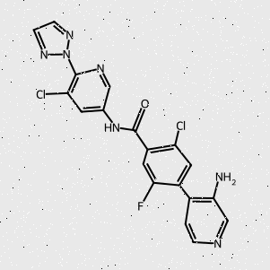 Nc1cnccc1-c1cc(Cl)c(C(=O)Nc2cnc(-n3nccn3)c(Cl)c2)cc1F